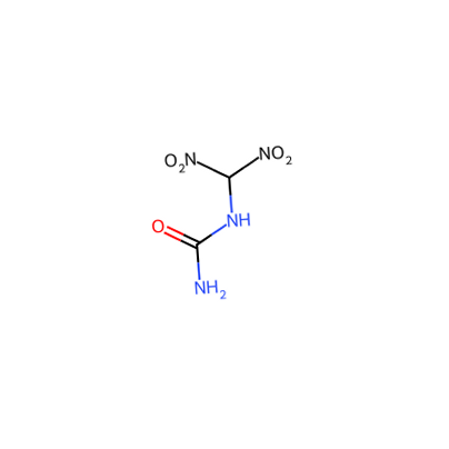 NC(=O)NC([N+](=O)[O-])[N+](=O)[O-]